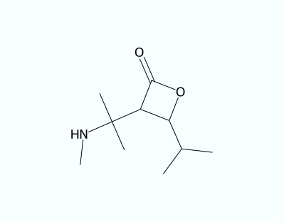 CNC(C)(C)C1C(=O)OC1C(C)C